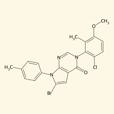 COc1ccc(Cl)c(-n2cnc3c(cc(Br)n3-c3ccc(C)cc3)c2=O)c1C